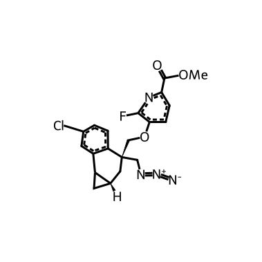 COC(=O)c1ccc(OC[C@@]2(CN=[N+]=[N-])C[C@@H]3CC3c3cc(Cl)ccc32)c(F)n1